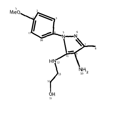 COc1ccc(-n2nc(C)c(N)c2NCCO)cc1